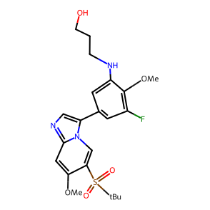 COc1cc2ncc(-c3cc(F)c(OC)c(NCCCO)c3)n2cc1S(=O)(=O)C(C)(C)C